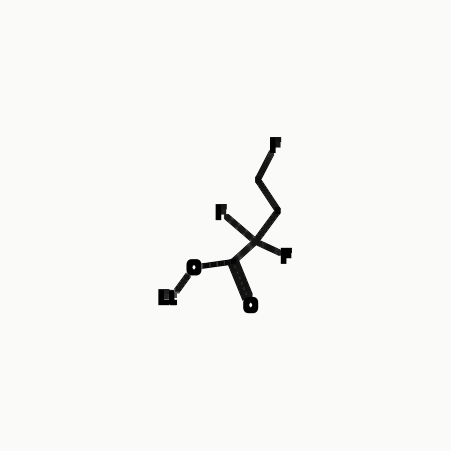 CCOC(=O)C(F)(F)CCF